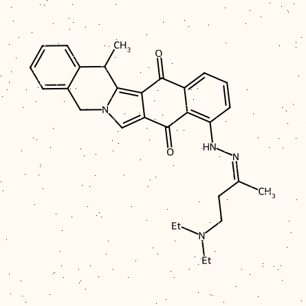 CCN(CC)CCC(C)=NNc1cccc2c1C(=O)c1cn3c(c1C2=O)C(C)c1ccccc1C3